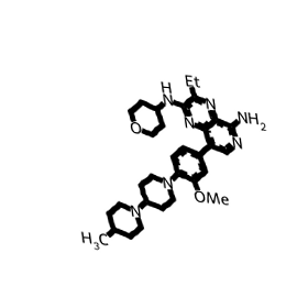 CCc1nc2c(N)ncc(-c3ccc(N4CCC(N5CCC(C)CC5)CC4)c(OC)c3)c2nc1NC1CCOCC1